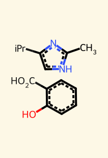 Cc1nc(C(C)C)c[nH]1.O=C(O)c1ccccc1O